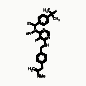 C=C(Cc1ccc(CNc2ncnc(N(CCC)C(CC)c3ccc(C(C)(C)F)cc3)c2F)cc1)NC